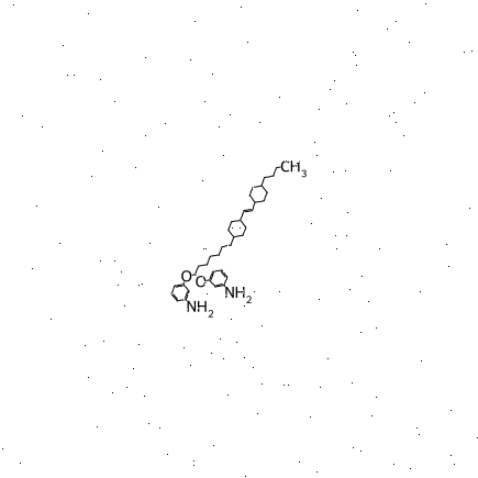 CCCCC1CCC(/C=C/C2CCC(CCCCCCC(Oc3cccc(N)c3)Oc3cccc(N)c3)CC2)CC1